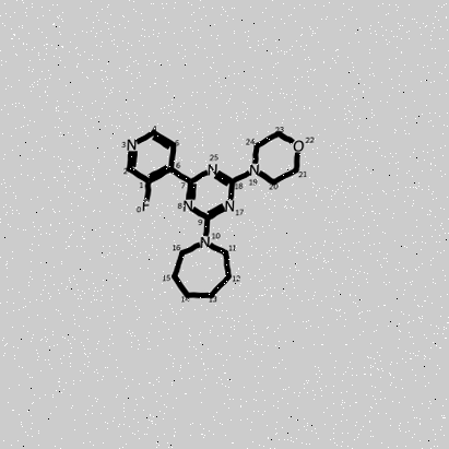 Fc1cnccc1-c1nc(N2CCCCCC2)nc(N2CCOCC2)n1